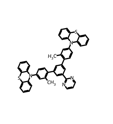 Cc1cc(N2c3ccccc3Sc3ccccc32)ccc1-c1cc(-c2ncccn2)cc(-c2ccc(N3c4ccccc4Sc4ccccc43)cc2C)c1